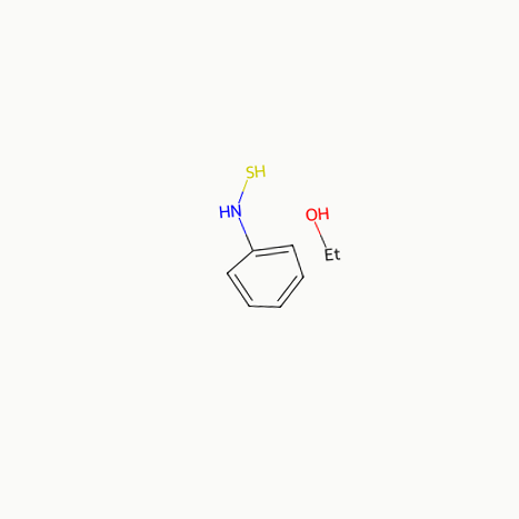 CCO.SNc1ccccc1